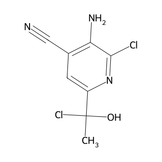 CC(O)(Cl)c1cc(C#N)c(N)c(Cl)n1